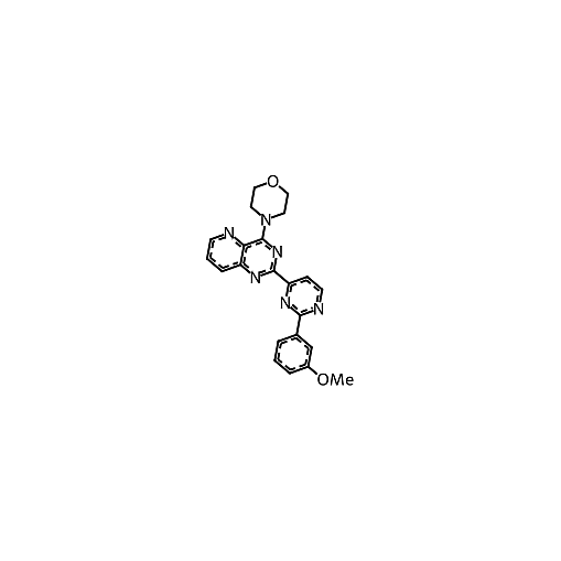 COc1cccc(-c2nccc(-c3nc(N4CCOCC4)c4ncccc4n3)n2)c1